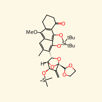 C=C1[C@@H](O[Si](C)(C)C)[C@H]2O[C@]1(C1OCCO1)O[C@H]2c1c(C)cc2c(OC)c3c(c4c2c1O[Si](C(C)(C)C)(C(C)(C)C)O4)C(=O)CCC3